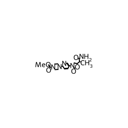 COC(=O)N1CCN(c2ccc(N3CC(C(C)C(N)=O)OC3=O)cn2)CC1